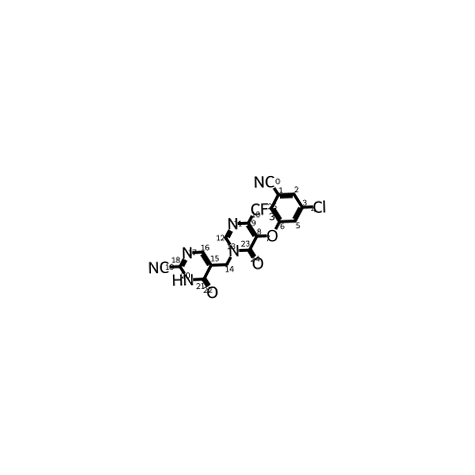 N#Cc1cc(Cl)cc(Oc2c(C(F)(F)F)ncn(Cc3cnc(C#N)[nH]c3=O)c2=O)c1